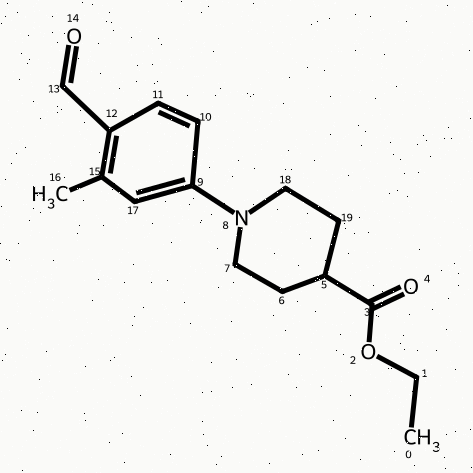 CCOC(=O)C1CCN(c2ccc(C=O)c(C)c2)CC1